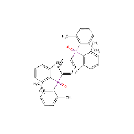 Cc1cccc(C)c1P(=O)(c1ccc(P(=O)(c2c(C)cccc2C)c2c(C)cccc2C)cc1)c1c(C)cccc1C